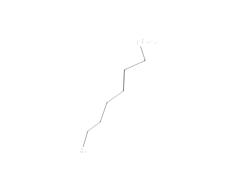 CCCCCCCCCC[CH]C(C)=O